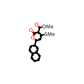 COC(=O)c1c(SC)cc(-c2ccc3ccccc3c2)oc1=O